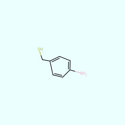 Bc1ccc(CS)cc1